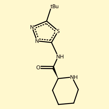 CC(C)(C)c1nnc(NC(=O)[C@@H]2CCCCN2)s1